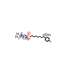 CCCCCCCCCCC(CCCCCCC/[P+]([O-])=C(\O)C[N+](C)(C)C)c1ccc(I)cc1